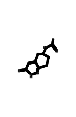 CC(=O)NC1CCc2n[nH]c(=O)cc2C1